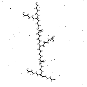 CCCCCCC(CCCCCC)CCCOC(=O)CCCCCN(CCCCCC(=O)OCCCC(CCCCCC)CCCCCC)CCCCN(C)C